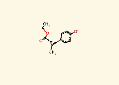 CCOC(=O)C1C(C)=C1c1ccc(Br)cc1